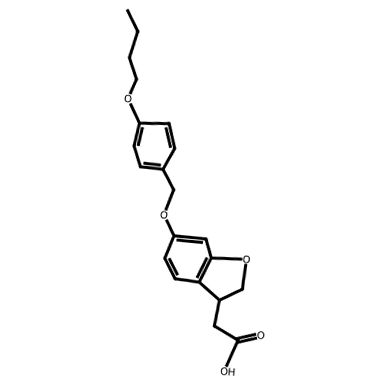 CCCCOc1ccc(COc2ccc3c(c2)OCC3CC(=O)O)cc1